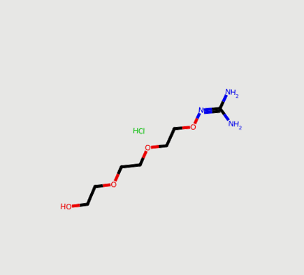 Cl.NC(N)=NOCCOCCOCCO